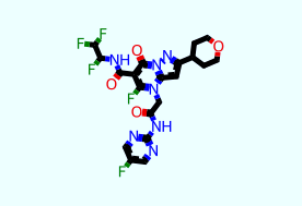 O=C(Cn1c(F)c(C(=O)NC(F)C(F)F)c(=O)n2nc(C3CCOCC3)cc12)Nc1ncc(F)cn1